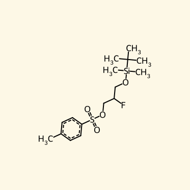 Cc1ccc(S(=O)(=O)OCC(F)CO[Si](C)(C)C(C)(C)C)cc1